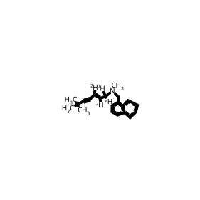 [2H]/C(C#CC(C)(C)C)=C(/[2H])C([2H])([2H])N(C)Cc1cccc2ccccc12